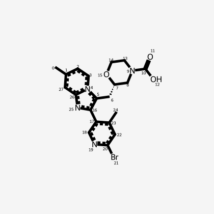 Cc1ccn2c(C[C@H]3CN(C(=O)O)CCO3)c(-c3cnc(Br)cc3C)nc2c1